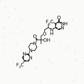 CC(COCC(C)(O)C(=O)N1CCN(c2ncc(C(F)(F)F)cn2)CC1)Nc1cn[nH]c(=O)c1C(F)(F)F